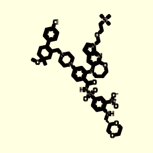 COC1(C)CCC(c2ccc(Cl)cc2)=C(CN2CCN(c3ccc(C(=O)NS(=O)(=O)c4ccc(NC[C@H]5COCCO5)c([N+](=O)[O-])c4)c(N4CCCOc5nc6c(ccn6COCC[Si](C)(C)C)cc54)c3)CC2)C1